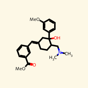 COC(=O)c1cccc(C=C2CCC(CN(C)C)C(O)(c3cccc(OC)c3)C2)c1